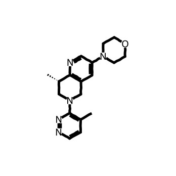 Cc1ccnnc1N1Cc2cc(N3CCOCC3)cnc2[C@@H](C)C1